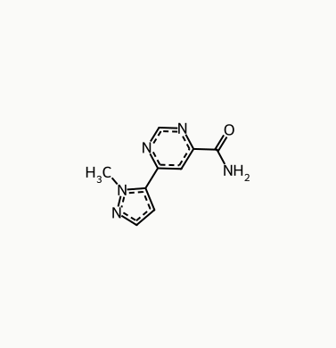 Cn1nccc1-c1cc(C(N)=O)ncn1